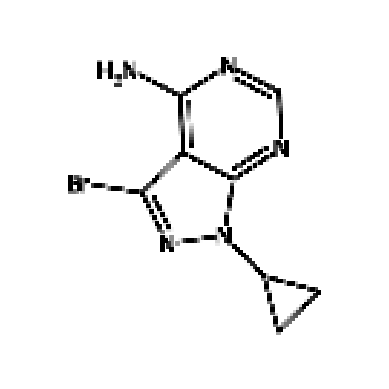 Nc1ncnc2c1c(Br)nn2C1CC1